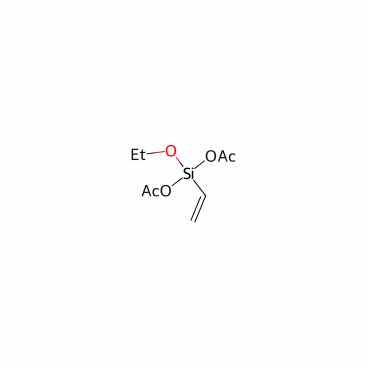 C=C[Si](OCC)(OC(C)=O)OC(C)=O